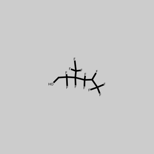 OCC(F)(F)C(F)(C(F)(F)F)C(F)(F)C(F)C(F)(F)F